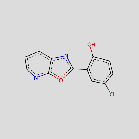 Oc1ccc(Cl)cc1-c1nc2cccnc2o1